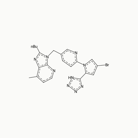 CCCCc1nc2c(C)ccnc2n1Cc1ccc(-n2cc(Br)cc2-c2nnn[nH]2)nc1